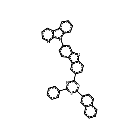 c1ccc(-c2nc(-c3ccc4ccccc4c3)nc(-c3ccc4oc5cc(-n6c7ccccc7c7cccnc76)ccc5c4c3)n2)cc1